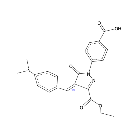 CCOC(=O)C1=NN(c2ccc(C(=O)O)cc2)C(=O)/C1=C\c1ccc(N(C)C)cc1